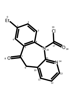 CCc1ccc2c(c1)C(=O)Cc1cccnc1N2C(=O)Cl